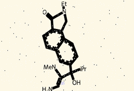 CCN1Cc2c(ccc3cc(C(O)(/C(=C/N)NC)C(C)C)ccc23)C1=O